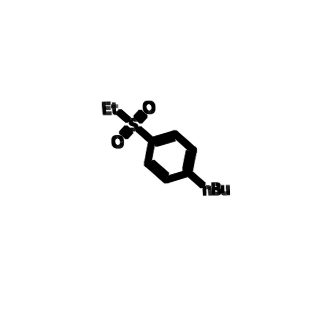 CCCCc1ccc(S(=O)(=O)CC)cc1